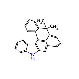 CC1(C)c2ccccc2-c2c3c1cccc3cc1[nH]c3ccccc3c21